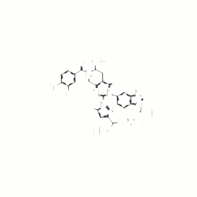 COC(C)c1cc(C)n(-c2nc3c(c(=O)n2-c2ccc4c(c2)ncn4C)CC(C)N(C(=O)c2ccc(Br)c(C(F)(F)F)c2)C3)n1